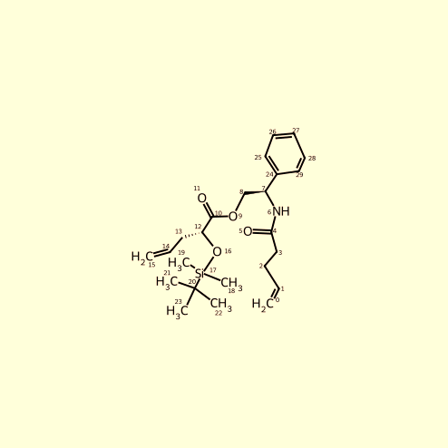 C=CCCC(=O)N[C@@H](COC(=O)[C@@H](CC=C)O[Si](C)(C)C(C)(C)C)c1ccccc1